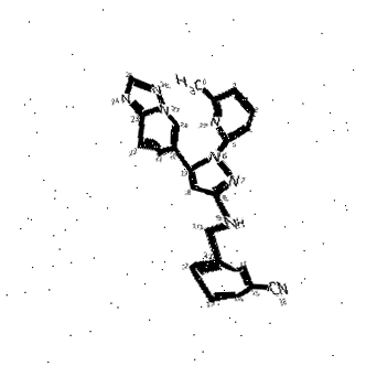 Cc1cccc(-n2nc(NCc3cccc(C#N)c3)cc2-c2ccc3ncnn3c2)n1